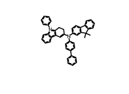 CC1(C)c2ccccc2-c2ccc(N(C3=Cc4c(n(-c5ccccc5)c5ccccc45)CC3)c3ccc(-c4ccccc4)cc3)cc21